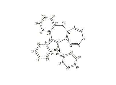 C1=CC2=C(C=CC1)c1c(c3ccccc3n1-c1ccccc1)-c1ccccc1C2